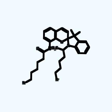 CCOC(=O)C(CCCCBr)N1c2ccccc2C(C)(C)C12C=Cc1cccc(OC(=O)CCCCCBr)c1O2